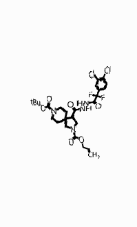 C=CCOC(=O)N1CC(C(=O)NNC(=O)C(F)(F)c2ccc(Cl)c(Cl)c2)C2(CCN(C(=O)OC(C)(C)C)CC2)C1